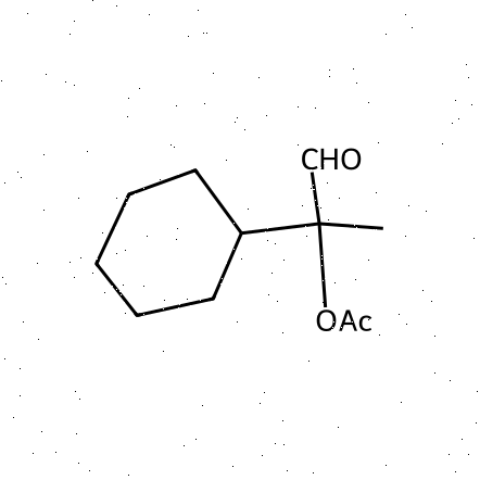 CC(=O)OC(C)(C=O)C1CCCCC1